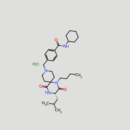 CCCCN1C(=O)[C@H](CC(C)C)NC(=O)C12CCN(Cc1ccc(C(=O)NC3CCCCC3)cc1)CC2.Cl